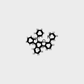 c1ccc(-n2c3ccccc3c3c4ccccc4c4c5cccc(-c6ccccn6)c5oc4c32)cc1